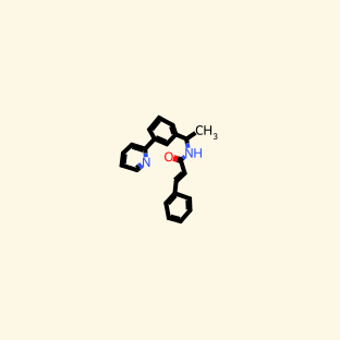 CC(NC(=O)C=Cc1ccccc1)c1cccc(-c2ccccn2)c1